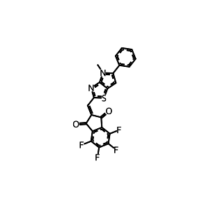 Cn1c(-c2ccccc2)cc2sc(C=C3C(=O)c4c(F)c(F)c(F)c(F)c4C3=O)nc21